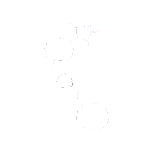 O=C1NC(=O)C(C2CCCCCC(Sc3ccc(OCC4CCCCCCCCCC4)cc3)CCC2)N1